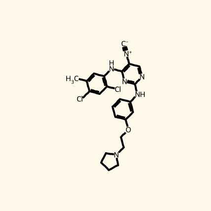 [C-]#[N+]c1cnc(Nc2cccc(OCCN3CCCC3)c2)nc1Nc1cc(C)c(Cl)cc1Cl